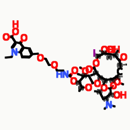 CCn1cc(C(=O)O)c(=O)c2cc(COCCOCCNC(=O)O[C@H]3[C@H](C)OC(O[C@H]4[C@H](C)[C@@H](OC5O[C@H](C)C[C@H](N(C)C)[C@H]5O)[C@](C)(OC)C[C@@H](C)C(=O)[C@H](C)[C@@H](O)[C@](C)(O)[C@@H](I)OC(=O)[C@@H]4C)C[C@@]3(C)OC)ccc21